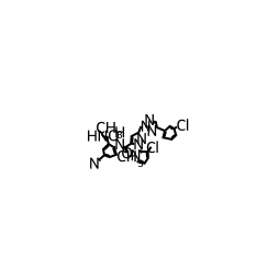 CNC(=O)c1cc(C#N)cc(C)c1NC(=O)c1cc(Cn2ncc(-c3cccc(Cl)c3)n2)nn1-c1ncccc1Cl